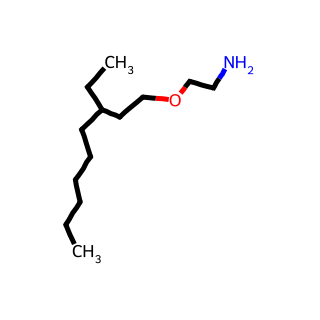 CCCCCCC(CC)CCOCCN